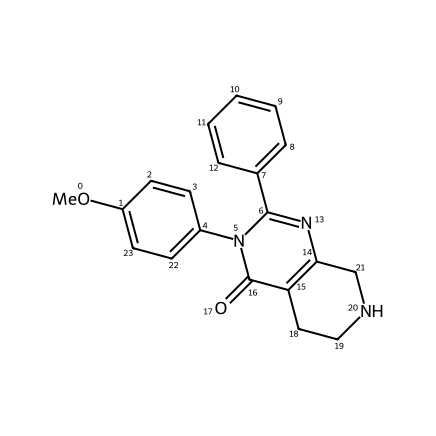 COc1ccc(-n2c(-c3ccccc3)nc3c(c2=O)CCNC3)cc1